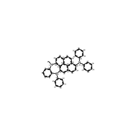 CN1c2ccccc2B(c2ccccc2)c2cc3ccc(N(c4ccccc4)c4ccccc4)c4ccc5ccc1c2c5c34